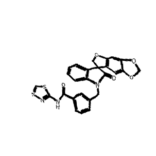 O=C(Nc1nncs1)c1cccc(CN2C(=O)C3(COc4cc5c(cc43)OCO5)c3ccccc32)c1